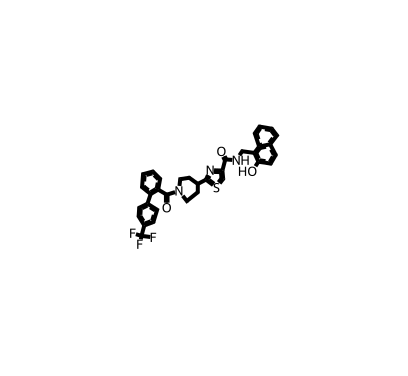 O=C(NCc1c(O)ccc2ccccc12)c1csc(C2CCN(C(=O)c3ccccc3-c3ccc(C(F)(F)F)cc3)CC2)n1